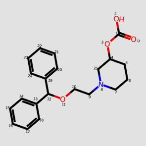 O=C(O)OC1CCCN(CCOC(c2ccccc2)c2ccccc2)C1